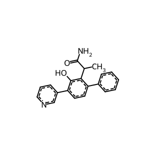 CC(C(N)=O)c1c(-c2ccccc2)ccc(-c2cccnc2)c1O